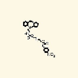 O=C(NCCN1Cc2ccccc2C#Cc2ccccc21)OCCOCCOC(=O)Oc1ccc([N+](=O)[O-])cc1